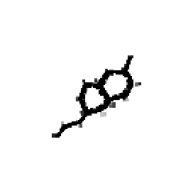 CCCc1ccc2cc(C)ccc2c1